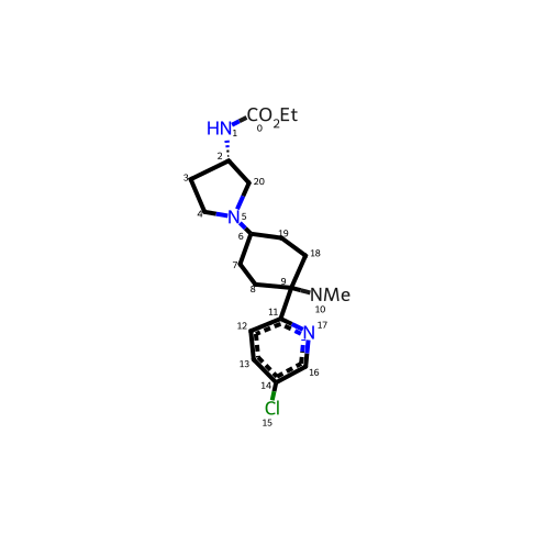 CCOC(=O)N[C@H]1CCN(C2CCC(NC)(c3ccc(Cl)cn3)CC2)C1